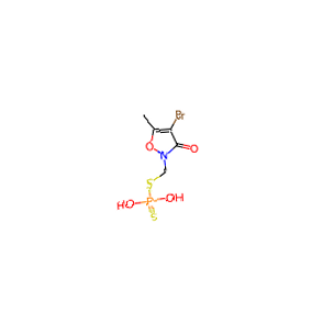 Cc1on(CSP(O)(O)=S)c(=O)c1Br